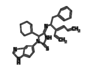 C=C/C=C(\C=C)C(Cc1ccccc1)/N=C1\NC(=S)N(c2ccc3[nH]cnc3c2)C1C1=CCCCC1